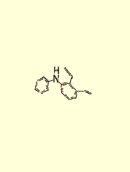 C=Cc1cccc(Nc2ccccc2)c1C=C